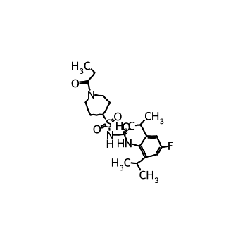 CCC(=O)N1CCC(S(=O)(=O)NC(=O)Nc2c(C(C)C)cc(F)cc2C(C)C)CC1